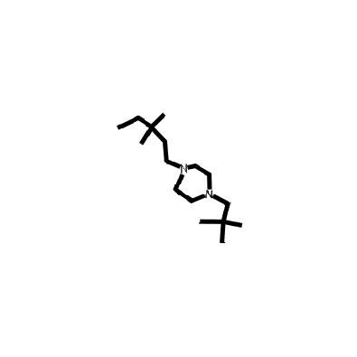 CCC(C)(C)CCN1CCN(CC(C)(C)C)CC1